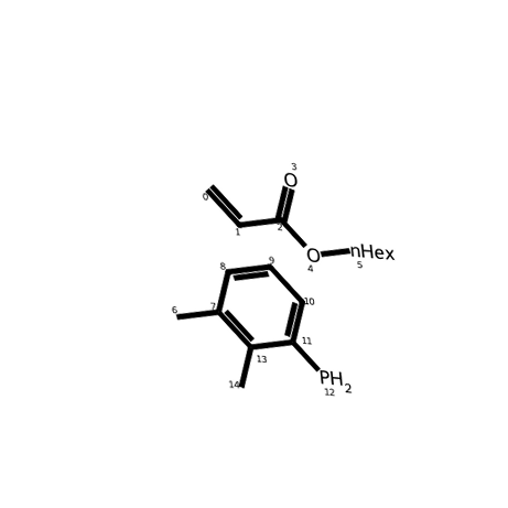 C=CC(=O)OCCCCCC.Cc1cccc(P)c1C